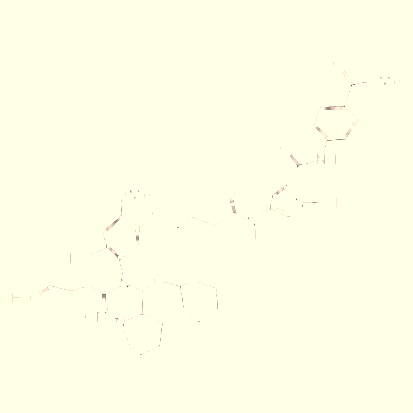 C=CCOC(=O)N(c1cc(OCCCC(=O)Nc2cc(C(=O)Nc3ccc(C(=O)OC)cc3)n(C)c2)c(OC)cc1C)C(OC1CCCCO1)C1CCCCN1C=O